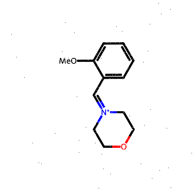 COc1ccccc1C=[N+]1CCOCC1